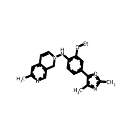 CCOc1cc(-c2oc(C)nc2C)ccc1NN1C=Cc2cc(C)ncc2C1